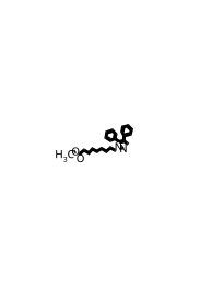 COC(=O)CCCCCCCCn1ncc(-c2ccccc2)c1-c1ccccc1